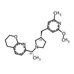 COc1cc(C[C@H]2CCN([C@H](C)c3ccc4c(n3)OCCC4)C2)cc(C)n1